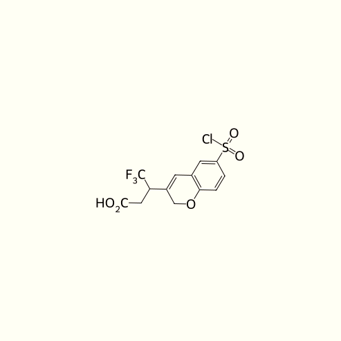 O=C(O)CC(C1=Cc2cc(S(=O)(=O)Cl)ccc2OC1)C(F)(F)F